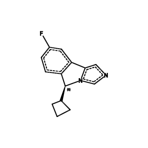 Fc1ccc2c(c1)-c1cncn1[C@H]2C1CCC1